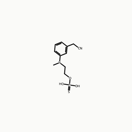 CN(CCOP(O)(O)=S)c1cccc(CC#N)c1